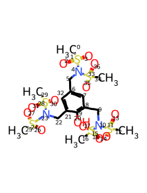 CS(=O)(=O)N(Cc1cc(CN(S(C)(=O)=O)S(C)(=O)=O)c(O)c(CN(S(C)(=O)=O)S(C)(=O)=O)c1)S(C)(=O)=O